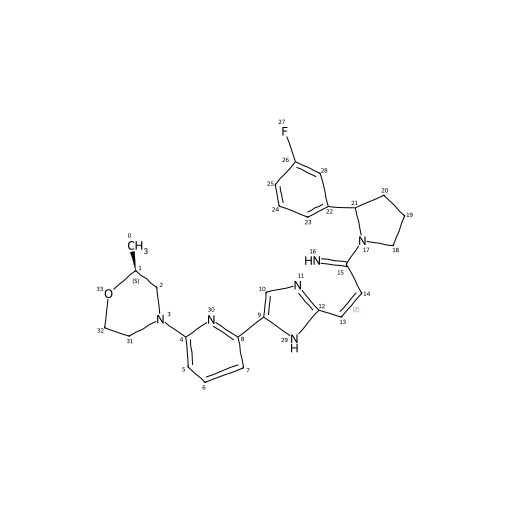 C[C@H]1CN(c2cccc(-c3cnc(/C=C\C(=N)N4CCCC4c4cccc(F)c4)[nH]3)n2)CCO1